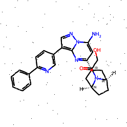 Nc1cc([C@@H]2C[C@H]3CC[C@@H](C2)N3C(=O)CO)nc2c(-c3ccc(-c4ccccc4)nc3)cnn12